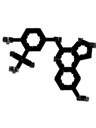 COc1ccc2nc(Nc3ccc([N+](=O)[O-])c(S(C)(=O)=O)c3)c3n[nH]cc3c2c1